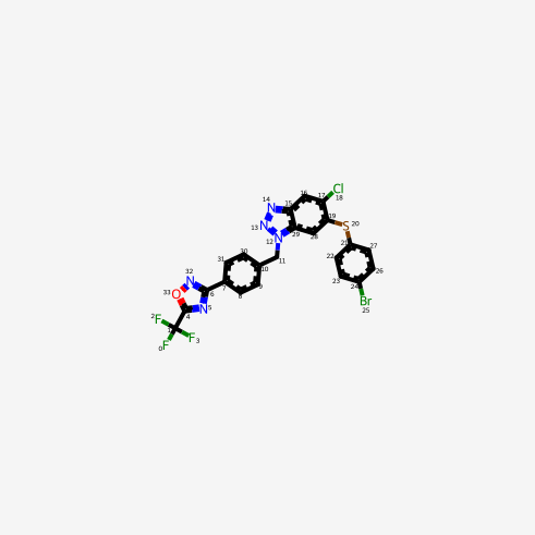 FC(F)(F)c1nc(-c2ccc(Cn3nnc4cc(Cl)c(Sc5ccc(Br)cc5)cc43)cc2)no1